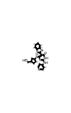 O=c1[nH]c(Nc2ccncc2)nc(NC2CCC(CO)C2)c1-c1nc2ccccc2s1